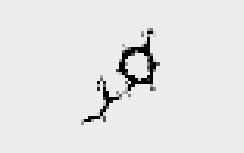 CCC(=O)Oc1ccc(Br)cc1